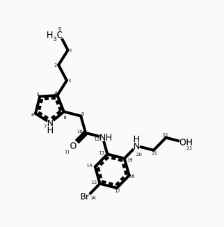 CCCCc1cc[nH]c1CC(=O)Nc1cc(Br)ccc1NCCO